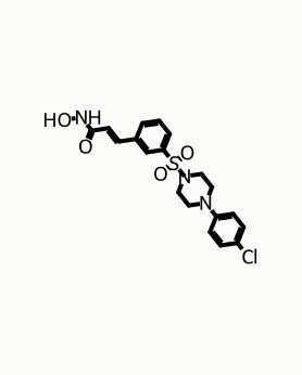 O=C(C=Cc1cccc(S(=O)(=O)N2CCN(c3ccc(Cl)cc3)CC2)c1)NO